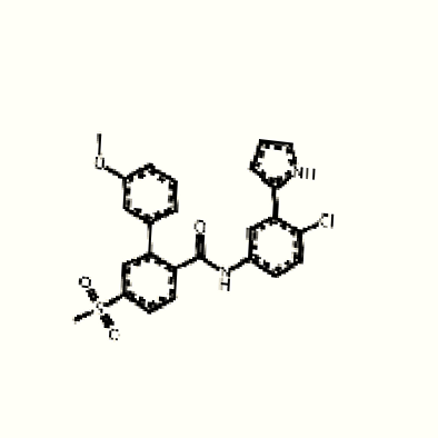 COc1cccc(-c2cc(S(C)(=O)=O)ccc2C(=O)Nc2ccc(Cl)c(-c3ccc[nH]3)c2)c1